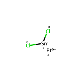 [Cl][Sn][Cl].[Pt+6]